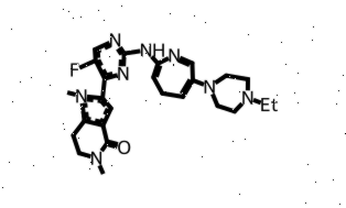 CCN1CCN(C2=CCC=C(Nc3ncc(F)c(-c4cc5c(n4C)CCN(C)C5=O)n3)N=C2)CC1